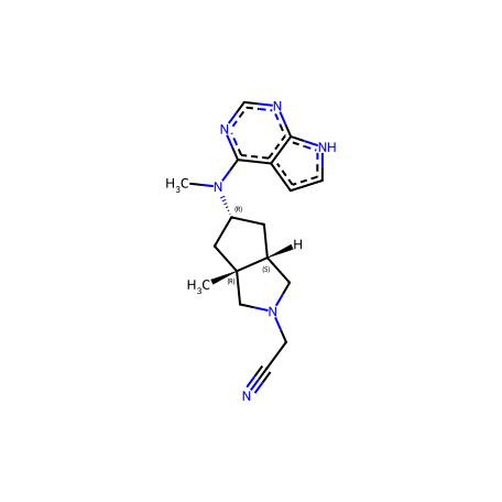 CN(c1ncnc2[nH]ccc12)[C@@H]1C[C@@H]2CN(CC#N)C[C@]2(C)C1